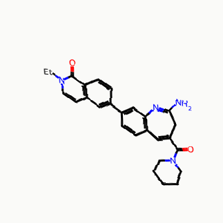 CCn1ccc2cc(-c3ccc4c(c3)N=C(N)CC(C(=O)N3CCCCC3)=C4)ccc2c1=O